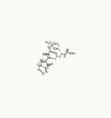 CC(C)(C)OC(=O)NC(CCCCNC(=O)O)c1nc2ccccc2[nH]1